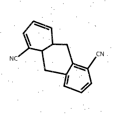 N#CC1=CC=CC2Cc3c(C#N)cccc3CC12